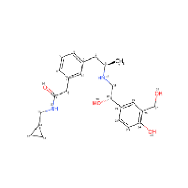 C[C@H](Cc1cccc(CC(=O)NCC2CC2)c1)NC[C@@H](O)c1ccc(O)c(CO)c1